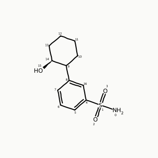 NS(=O)(=O)c1cccc(C2CCCC[C@@H]2O)c1